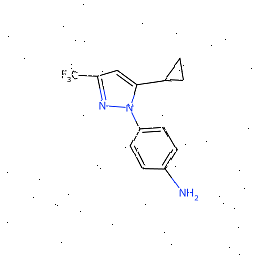 Nc1ccc(-n2nc(C(F)(F)F)cc2C2CC2)cc1